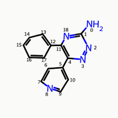 Nc1nnc(-c2ccncc2)c(-c2ccccc2)n1